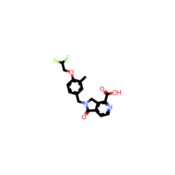 Cc1cc(CN2Cc3c(ccnc3C(=O)O)C2=O)ccc1OCC(F)F